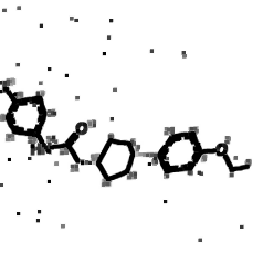 CCOc1ccc([C@H]2CC[C@@H](CC(=O)Nc3ccc(Cl)cc3)CC2)cc1